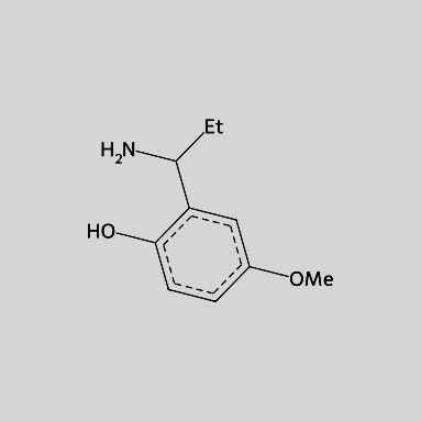 CCC(N)c1cc(OC)ccc1O